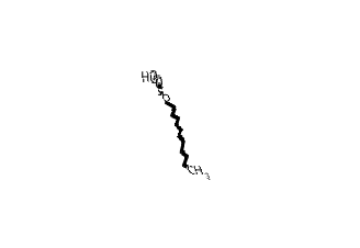 CCCCCCCCCCCCOSOO